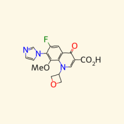 COc1c(-n2ccnc2)c(F)cc2c(=O)c(C(=O)O)cn(C3COC3)c12